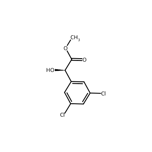 COC(=O)[C@H](O)c1cc(Cl)cc(Cl)c1